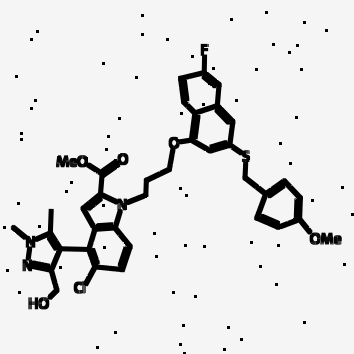 COC(=O)c1cc2c(-c3c(CO)nn(C)c3C)c(Cl)ccc2n1CCCOc1cc(SCc2ccc(OC)cc2)cc2cc(F)ccc12